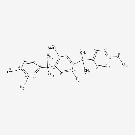 COc1cc(C(C)(C)c2ccc(OC(F)(F)F)cc2)c(F)cc1C(C)(C)c1ccc(C(C)C)c(C#N)c1